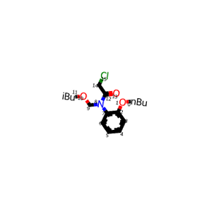 CCCCOc1ccccc1N(COC(C)CC)C(=O)CCl